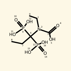 CCN(C(=O)O)C(CC)(P(=O)(O)O)P(=O)(O)O